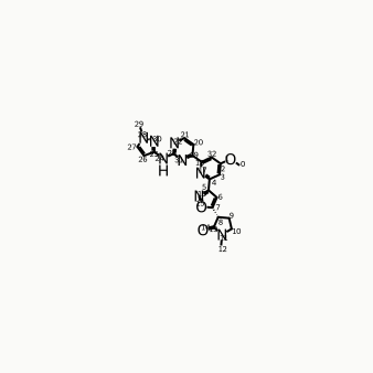 COc1cc(-c2cc([C@@H]3CCN(C)C3=O)on2)nc(-c2ccnc(Nc3ccn(C)n3)n2)c1